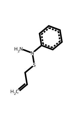 C=CCSN(N)c1ccccc1